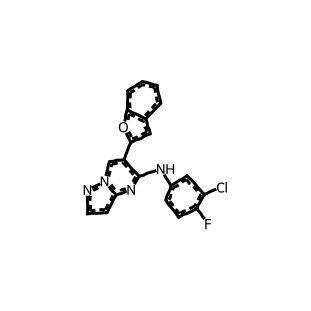 Fc1ccc(Nc2nc3ccnn3cc2-c2cc3ccccc3o2)cc1Cl